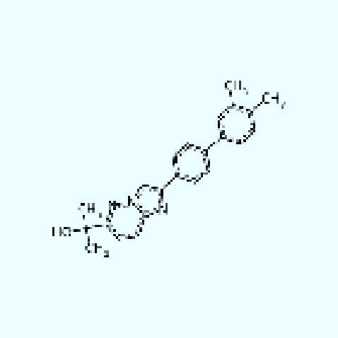 Cc1ccc(-c2ccc(-c3cn4nc(C(C)(C)O)ccc4n3)cc2)cc1C